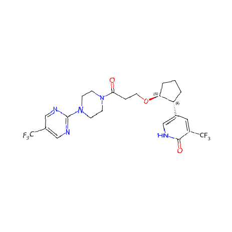 O=C(CCO[C@H]1CCC[C@@H]1c1c[nH]c(=O)c(C(F)(F)F)c1)N1CCN(c2ncc(C(F)(F)F)cn2)CC1